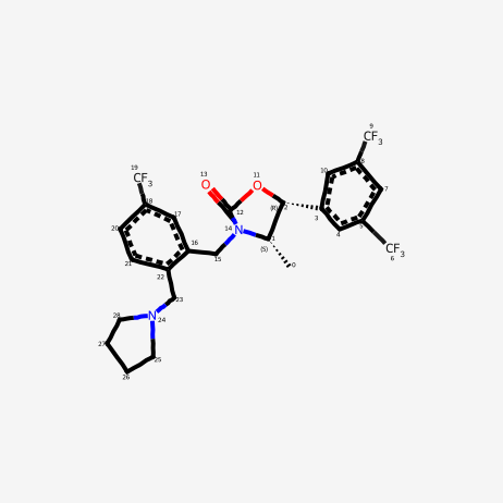 C[C@H]1[C@@H](c2cc(C(F)(F)F)cc(C(F)(F)F)c2)OC(=O)N1Cc1cc(C(F)(F)F)ccc1CN1CCCC1